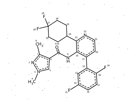 Cc1nn(C)cc1C(=O)Nc1c(-c2cc(F)ccc2F)ccnc1C1CCC(F)(F)CC1